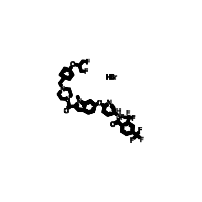 Br.Cn1c(C(=O)N2CCN(Cc3ccc(OC(CF)CF)cc3)CC2)cc2ccc(Oc3ccc(NC(=O)c4ccc(C(F)(F)F)cc4C(F)(F)F)cn3)cc21